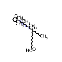 CCCCCC(CCCCCCCCCC(=O)O)C(=O)/C=C(C)/C=C/C=C(C)/C=C/C1=C(C)CCCC1(C)C